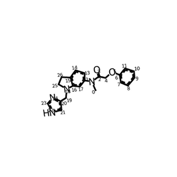 CN(C(=O)COc1ccccc1)c1ccc2c(c1)N(Cc1c[nH]cn1)CC2